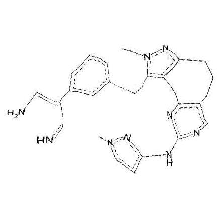 Cn1ccc(Nc2ncc3c(n2)-c2c(nn(C)c2Cc2cccc(/C(C=N)=C/N)c2)CC3)n1